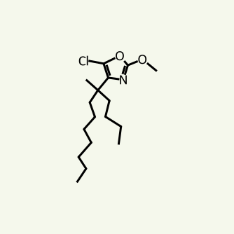 CCCCCCCC(C)(CCCC)c1nc(OC)oc1Cl